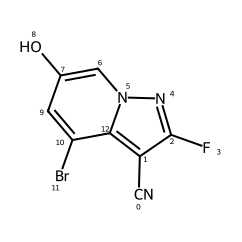 N#Cc1c(F)nn2cc(O)cc(Br)c12